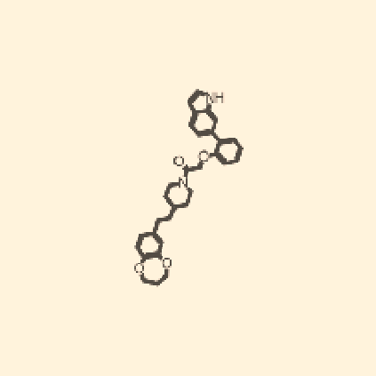 O=C(COc1ccccc1-c1ccc2cc[nH]c2c1)N1CCC(CCc2ccc3c(c2)OCCCO3)CC1